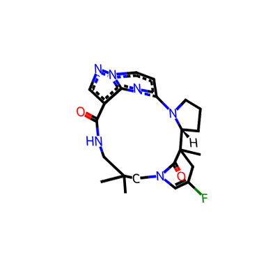 CC1(C)CNC(=O)c2cnn3ccc(nc23)N2CCC[C@@H]2C2(C)CC(F)=CN(C1)C2=O